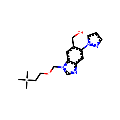 C[Si](C)(C)CCOCn1cnc2cc(-n3cccn3)c(CO)cc21